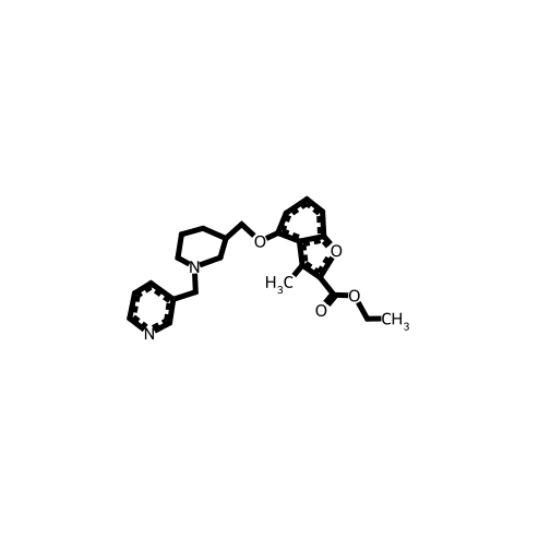 CCOC(=O)c1oc2cccc(OCC3CCCN(Cc4cccnc4)C3)c2c1C